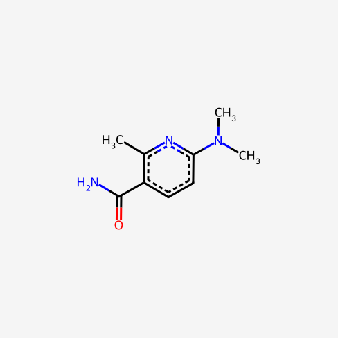 Cc1nc(N(C)C)ccc1C(N)=O